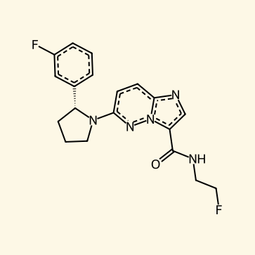 O=C(NCCF)c1cnc2ccc(N3CCC[C@@H]3c3cccc(F)c3)nn12